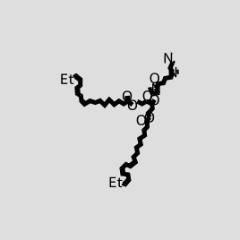 CC/C=C\C/C=C\C/C=C\CCCCCCCCC(=O)OCCC1OC2(CN(C(=O)CCCN(C)CCN(C)C)C2)OC1CCOC(=O)CCCCCCCC/C=C\C/C=C\C/C=C\CC